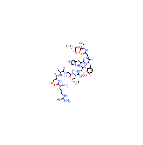 CC(C)C[C@H](NC(=O)CNC(=O)[C@H](Cc1ccccc1)NC(=O)[C@H](Cc1c[nH]cn1)NC(=O)[C@H](CO)NC(=O)[C@H](CCC(=O)O)NC(=O)CNC(=O)[C@H](C)NC(=O)[C@H](CO)NC(=O)[C@@H](N)CCCNC(=N)N)C(=O)N[C@H](C(=O)O)[C@@H](C)O